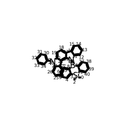 C[Si]1(C)c2ccccc2B(n2c3ccccc3c3ccc4c(c5ccccc5n4-c4ccccc4)c32)c2ccccc21